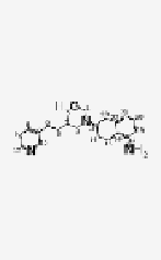 CCN(CCCCc1cccnc1)C1CCc2c(N)cccc2C1